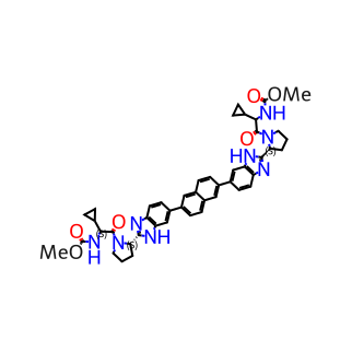 COC(=O)NC(C(=O)N1CCC[C@H]1c1nc2ccc(-c3ccc4cc(-c5ccc6nc([C@@H]7CCCN7C(=O)[C@@H](NC(=O)OC)C7CC7)[nH]c6c5)ccc4c3)cc2[nH]1)C1CC1